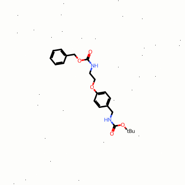 CC(C)(C)OC(=O)NCc1ccc(OCCNC(=O)OCc2ccccc2)cc1